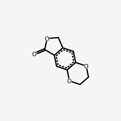 O=C1OCc2cc3c(cc21)OCCO3